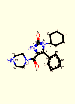 O=C(c1[nH]c(=O)n(C2CCCCC2)c1-c1ccccc1)N1CCNCC1